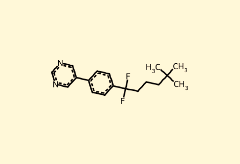 CC(C)(C)CCCC(F)(F)c1ccc(-c2cncnc2)cc1